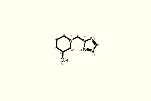 OC1CCCN(Cn2ncnn2)C1